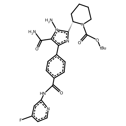 CC(C)(C)OC(=O)N1CCCC[C@H]1c1nc(-c2ccc(C(=O)Nc3cc(F)ccn3)cc2)c(C(N)=O)n1N